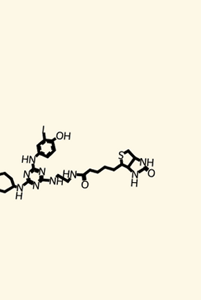 O=C(CCCCC1SCC2NC(=O)NC21)NCCNc1nc(Nc2ccc(O)c(I)c2)nc(NC2CCCCCC2)n1